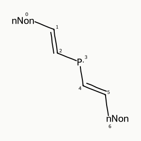 CCCCCCCCC/C=C/[P]/C=C/CCCCCCCCC